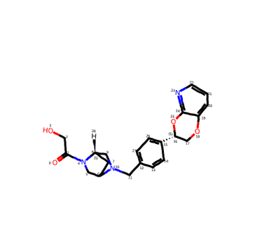 O=C(CO)N1CC2C[C@H]1CN2Cc1ccc([C@H]2COc3cccnc3O2)cc1